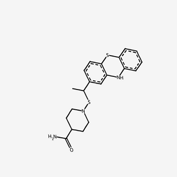 CC(SN1CCC(C(N)=O)CC1)c1ccc2c(c1)Nc1ccccc1S2